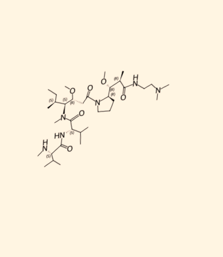 CC[C@H](C)[C@@H]([C@@H](CC(=O)N1CCC[C@@H]1[C@H](OC)[C@@H](C)C(=O)NCCN(C)C)OC)N(C)C(=O)[C@@H](NC(=O)[C@@H](NC)C(C)C)C(C)C